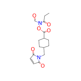 CCC(=O)N(C=O)OC(=O)C1CCC(CN2C(=O)C=CC2=O)CC1